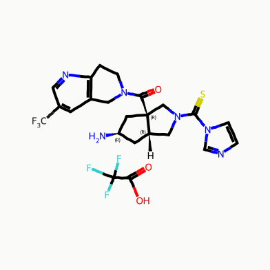 N[C@@H]1C[C@H]2CN(C(=S)n3ccnc3)C[C@@]2(C(=O)N2CCc3ncc(C(F)(F)F)cc3C2)C1.O=C(O)C(F)(F)F